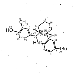 Cc1cc(C2Nc3ccc(C(C)(C)C)cc3[C@H]3OCCC[C@@H]23)ccc1O